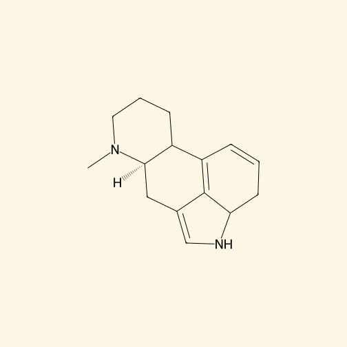 CN1CCCC2C3=C4C(=CNC4CC=C3)C[C@H]21